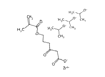 C=C(C)C(=O)OCCCC(=O)CC(=O)[O-].CC(C)[O-].CC(C)[O-].CC(C)[O-].[Zr+4]